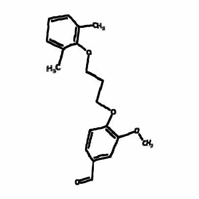 COc1cc(C=O)ccc1OCCCOc1c(C)cccc1C